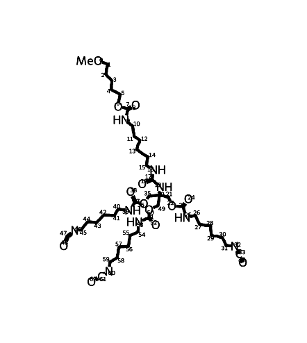 COCCCCCOC(=O)NCCCCCCNC(=O)NC(COC(=O)NCCCCCCN=C=O)(COC(=O)NCCCCCCN=C=O)COC(=O)NCCCCCCN=C=O